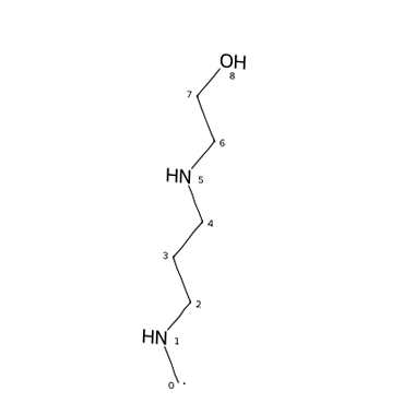 [CH2]NCCCNCCO